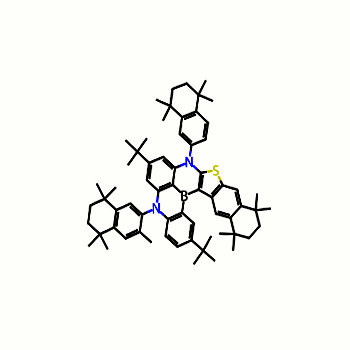 Cc1cc2c(cc1N1c3ccc(C(C)(C)C)cc3B3c4c1cc(C(C)(C)C)cc4N(c1ccc4c(c1)C(C)(C)CCC4(C)C)c1sc4cc5c(cc4c13)C(C)(C)CCC5(C)C)C(C)(C)CCC2(C)C